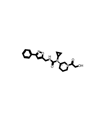 O=C(CO)N1CCC[C@@H](N(C(=O)NCc2cc(-c3ccccc3)no2)C2CC2)C1